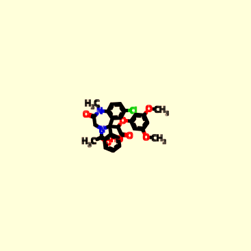 COc1cc(OC)cc(OC(C(=O)O)C2(c3ccccc3)c3cc(Cl)ccc3N(C)C(=O)CN2C(C)=O)c1